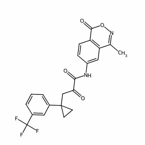 Cc1noc(=O)c2ccc(NC(=O)C(=O)CC3(c4cccc(C(F)(F)F)c4)CC3)cc12